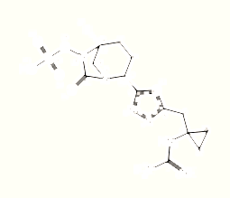 N=C(N)NC1(Cc2nnc([C@@H]3CC[C@H]4CN3C(=O)N4OS(=O)(=O)O)o2)CC1